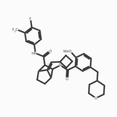 COc1ccc(CC2CCOCC2)cc1C(=O)NC1C2CCC(/C2=C/C2CCC2)C1C(=O)Nc1ccc(F)c(C(F)(F)F)c1